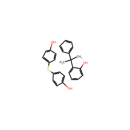 CC(C)(c1ccccc1)c1ccccc1O.Oc1ccc(Sc2ccc(O)cc2)cc1